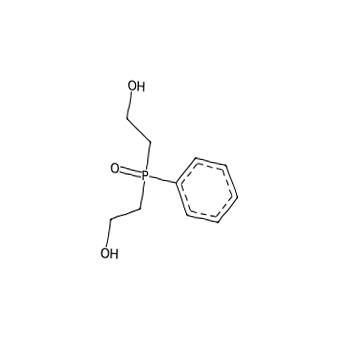 O=P(CCO)(CCO)c1ccccc1